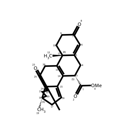 COC(=O)[C@H]1CC2=CC(=O)CC[C@@]2(C)C2=C1C1=CC[C@]3(C)CCC(=O)C13CC2